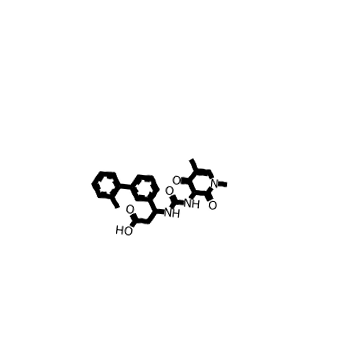 CC1=CN(C)C(=O)C(NC(=O)NC(CC(=O)O)c2cccc(-c3ccccc3C)c2)C1=O